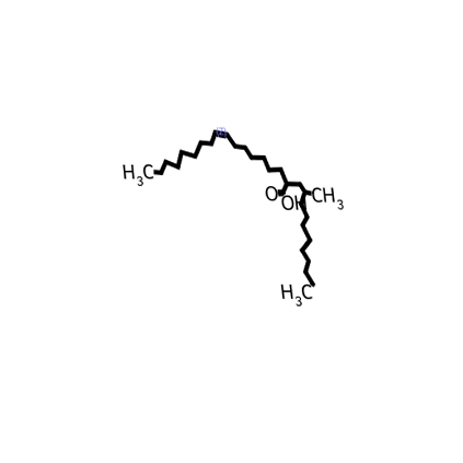 CCCCCCCC/C=C\CCCCCCC(CC(C)CCCCCCCCC)C(=O)O